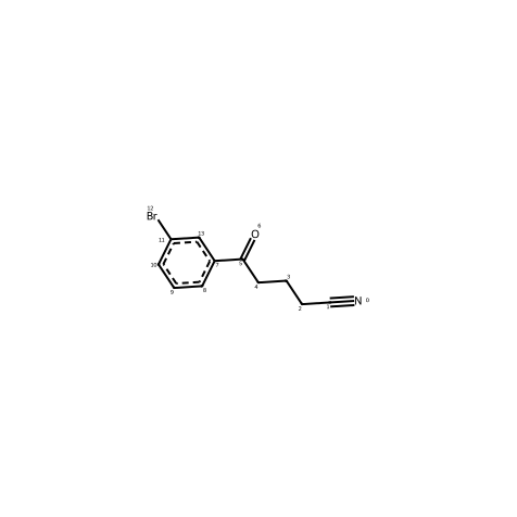 N#CCCCC(=O)c1cccc(Br)c1